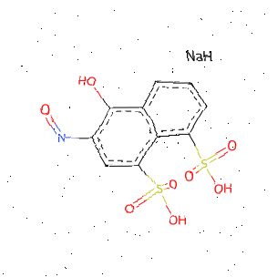 O=Nc1cc(S(=O)(=O)O)c2c(S(=O)(=O)O)cccc2c1O.[NaH]